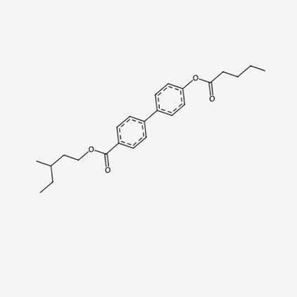 CCCCC(=O)Oc1ccc(-c2ccc(C(=O)OCCC(C)CC)cc2)cc1